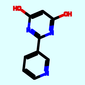 Oc1cc(O)nc(-c2cccnc2)n1